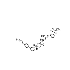 NCCc1ccc(-c2cccc(S(=O)(=O)N3CCC4(CC3)C[C@H](NCC(O)COc3cccc(S(=O)(=O)C5(CO)CC5)c3)CO4)c2)cc1